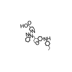 CCc1ccc(Nc2ccc3c(c2)OCCC3Cn2c(-c3cc(C(=O)O)ccn3)nc3ccccc32)cc1